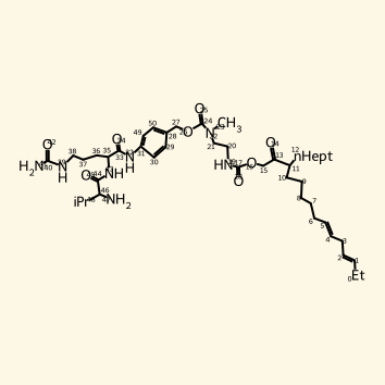 CCC=CCC=CCCCCCC(CCCCCCC)C(=O)COC(=O)NCCN(C)C(=O)OCc1ccc(NC(=O)C(CCCNC(N)=O)NC(=O)C(N)C(C)C)cc1